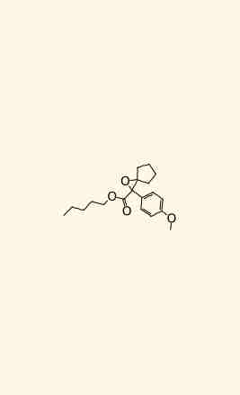 CCCCCOC(=O)C1(c2ccc(OC)cc2)OC12CCCC2